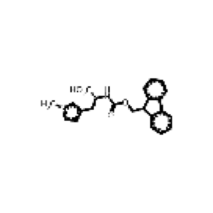 Cn1ccc(C[C@H](NC(=O)OCC2c3ccccc3-c3ccccc32)C(=O)O)c1